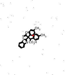 Cc1ccc(C(C(=O)O)C(C(O)=S)(c2ccc(C)cc2)c2nc3ccccc3s2)cc1